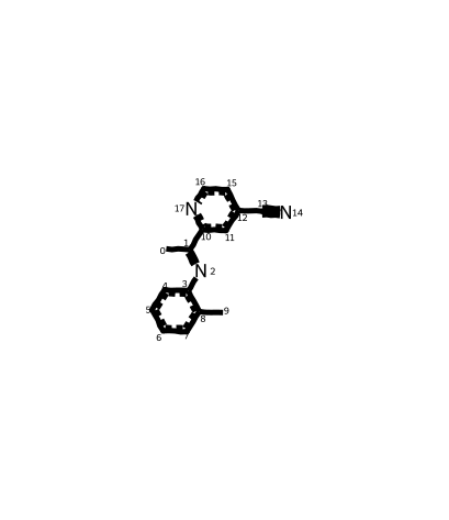 C/C(=N\c1ccccc1C)c1cc(C#N)ccn1